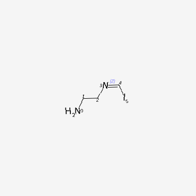 NCC/N=C\I